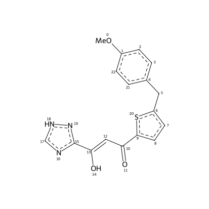 COc1ccc(Cc2ccc(C(=O)C=C(O)c3nc[nH]n3)s2)cc1